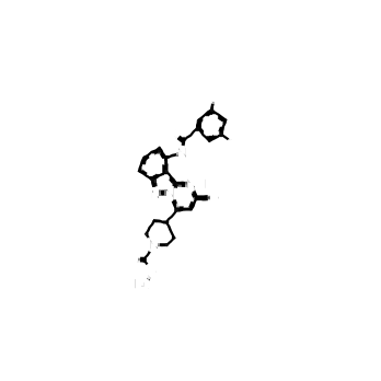 CC(C)(C)OC(=O)N1CCC(c2cc(=O)[nH]c3c4c(NC(=O)c5cc(C(F)(F)F)cc(C(F)(F)F)c5)cccc4nn23)CC1